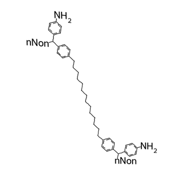 CCCCCCCCCC(c1ccc(N)cc1)c1ccc(CCCCCCCCCCCCCCc2ccc(C(CCCCCCCCC)c3ccc(N)cc3)cc2)cc1